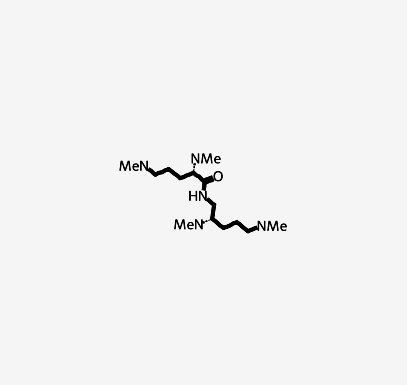 CNCCC[C@@H](CNC(=O)[C@H](CCCNC)NC)NC